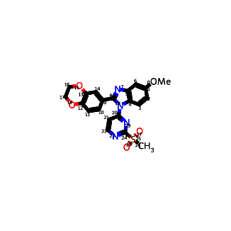 COc1ccc2c(c1)nc(-c1ccc3c(c1)OCCO3)n2-c1ccnc(S(C)(=O)=O)n1